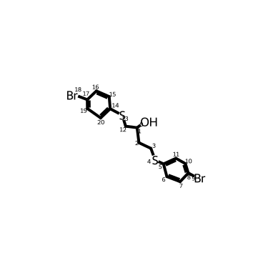 OC(CCSc1ccc(Br)cc1)CSc1ccc(Br)cc1